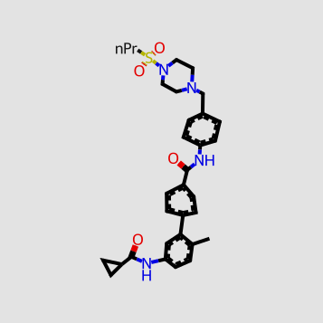 CCCS(=O)(=O)N1CCN(Cc2ccc(NC(=O)c3ccc(-c4cc(NC(=O)C5CC5)ccc4C)cc3)cc2)CC1